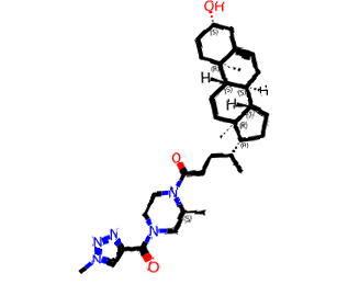 CC(CCC(=O)N1CCN(C(=O)c2cn(C)nn2)C[C@@H]1C)[C@H]1CC[C@H]2[C@@H]3CC=C4C[C@@H](O)CC[C@]4(C)[C@H]3CC[C@]12C